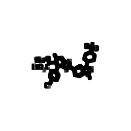 CCOC(=O)[C@@H](OC(C)(C)C)c1c(C)cc2nc(-c3ccc4c(c3)c(C3CCN(S(C)(=O)=O)CC3)nn4C)sc2c1-c1ccc(Cl)cc1